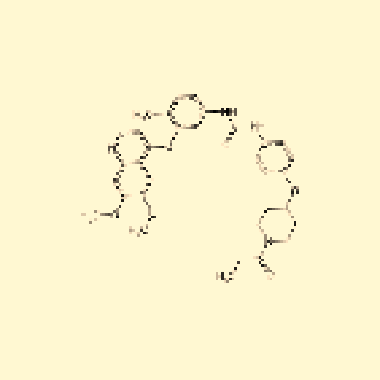 CCC(=O)N1CCC(Oc2ccc(NC(=O)Nc3ccc(C)c(Oc4ccnc5cc(OC)c(OC)cc45)c3)cc2)CC1